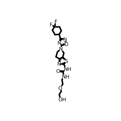 O=C(NCCOCCO)Nc1nc2c(s1)CN(c1nc(C3CCC(F)(F)CC3)no1)CC2